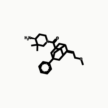 COCC=C1C2CC3(C(=O)N4CC[C@H](N)C(C)(C)C4)CC1CC(c1ccccc1)(C2)C3